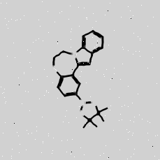 CC1(C)OB(c2ccc3c(c2)-c2cc4ccccc4n2CCO3)OC1(C)C